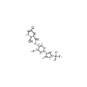 Cn1cc(C(F)(F)F)nc1-c1ccc(CNc2nc(Cl)ncc2O)c(F)c1